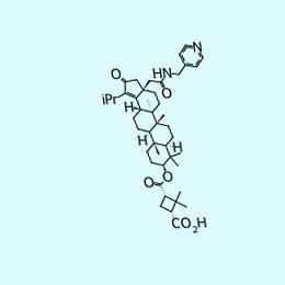 CC(C)C1=C2[C@H]3CC[C@@H]4[C@@]5(C)CC[C@H](OC(=O)[C@H]6C[C@@H](C(=O)O)C6(C)C)C(C)(C)[C@@H]5CC[C@@]4(C)[C@]3(C)CC[C@@]2(CC(=O)NCc2ccncc2)CC1=O